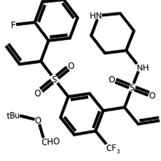 C=CC(c1cc(S(=O)(=O)C(C=C)c2ccccc2F)ccc1C(F)(F)F)S(=O)(=O)NC1CCNCC1.CC(C)(C)OC=O